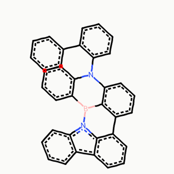 c1ccc(-c2ccccc2N2c3ccccc3B3c4c(cccc42)-c2cccc4c5ccccc5n3c24)cc1